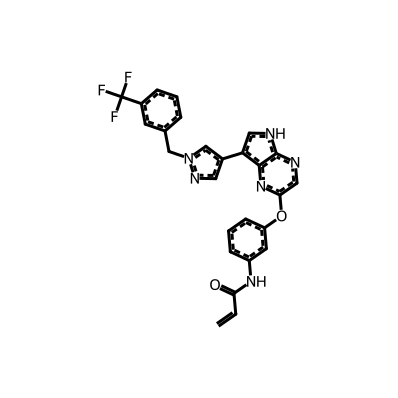 C=CC(=O)Nc1cccc(Oc2cnc3[nH]cc(-c4cnn(Cc5cccc(C(F)(F)F)c5)c4)c3n2)c1